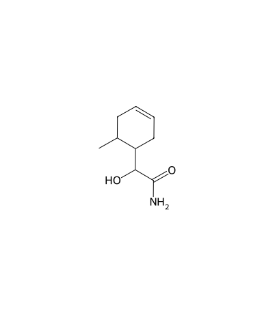 CC1CC=CCC1C(O)C(N)=O